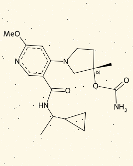 COc1cc(N2CC[C@](C)(OC(N)=O)C2)c(C(=O)NC(C)C2CC2)cn1